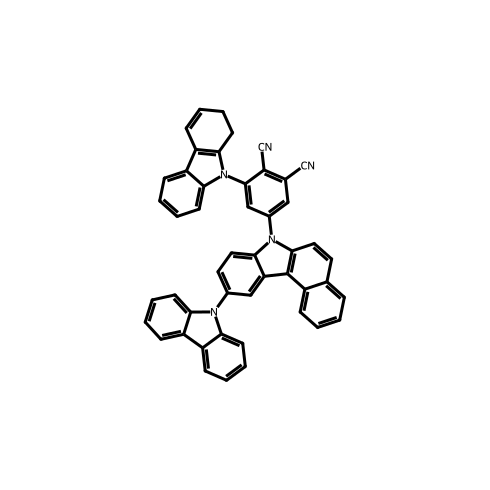 N#Cc1cc(-n2c3ccc(-n4c5ccccc5c5ccccc54)cc3c3c4ccccc4ccc32)cc(-n2c3c(c4ccccc42)C=CCC3)c1C#N